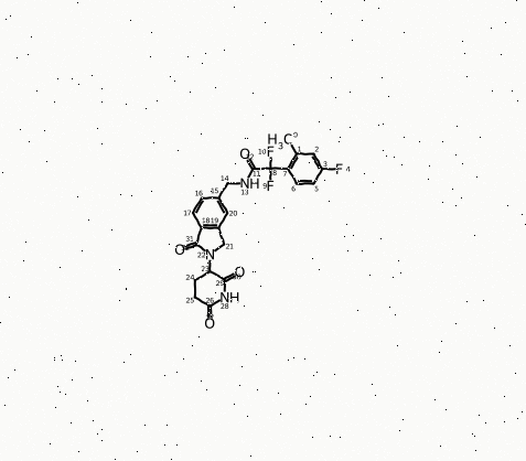 Cc1cc(F)ccc1C(F)(F)C(=O)NCc1ccc2c(c1)CN(C1CCC(=O)NC1=O)C2=O